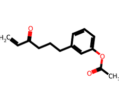 C=CC(=O)CCCc1cccc(OC(C)=O)c1